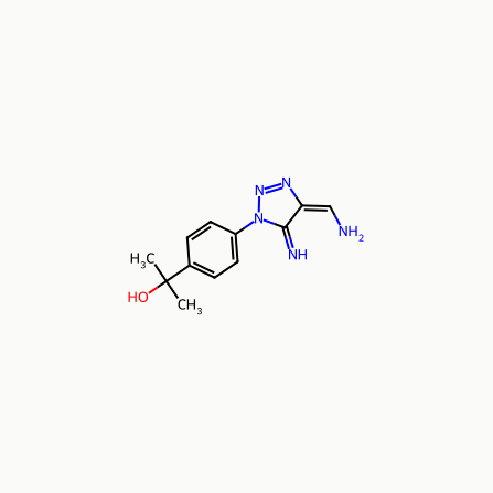 CC(C)(O)c1ccc(N2N=N/C(=C/N)C2=N)cc1